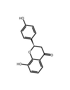 O=C1C[C@H](c2ccc(O)cc2)Oc2c(O)cccc21